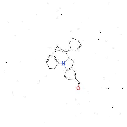 O=Cc1ccc2c(c1)CC(C(=C1CC1)C1C=CCCC1)N2C1=CC=CCC1